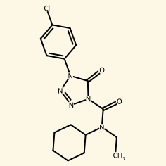 CCN(C(=O)n1nnn(-c2ccc(Cl)cc2)c1=O)C1CCCCC1